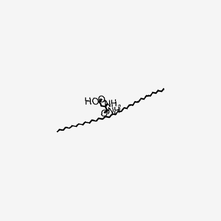 CCCCCCCCCCCCCCCCCCC(CCCCCCCCCCCCCCCCC)NC(=O)C(N)CC(=O)O